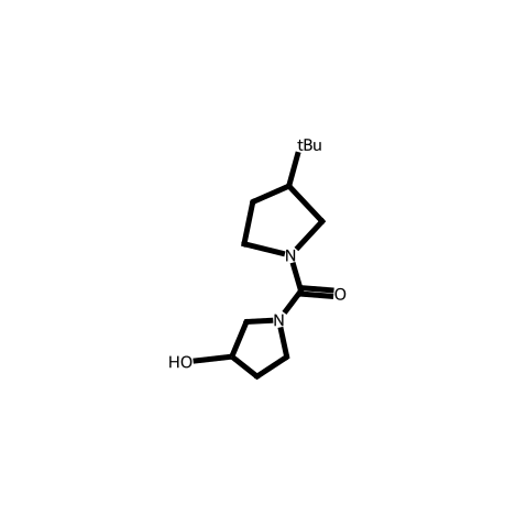 CC(C)(C)C1CCN(C(=O)N2CCC(O)C2)C1